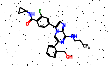 O=C(NC1CC1)c1ccc(-c2cnc3c(NCCC(F)(F)F)nc(-c4ccccc4CO)cn23)cc1F